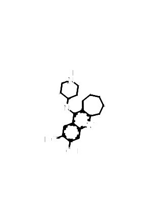 Oc1cc2nc3c(c(NC4CCNCC4)c2cc1O)CCCCC3